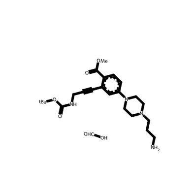 COC(=O)c1ccc(N2CCN(CCCN)CC2)cc1C#CCNC(=O)OC(C)(C)C.O=CO